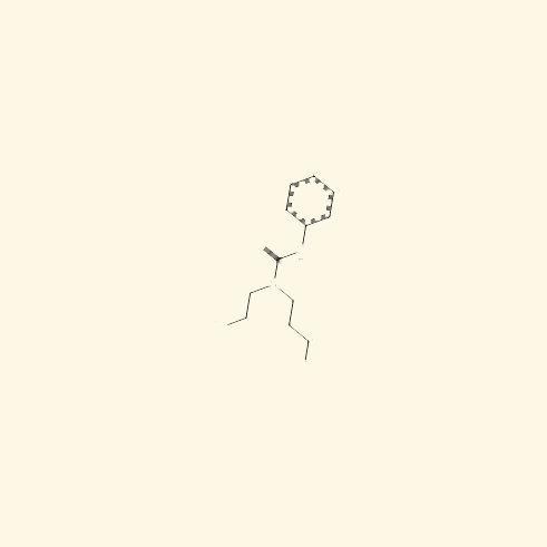 CCCN(CCCCl)C(=O)Oc1ccccc1